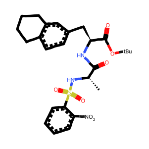 C[C@H](NS(=O)(=O)c1ccccc1[N+](=O)[O-])C(=O)N[C@@H](Cc1ccc2c(c1)CCCC2)C(=O)OC(C)(C)C